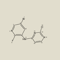 Fc1ncc(Br)cc1Nc1ccnc(Cl)n1